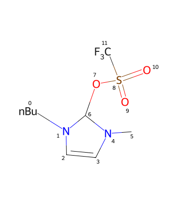 CCCCN1C=CN(C)C1OS(=O)(=O)C(F)(F)F